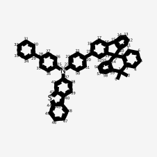 CC1(C)c2ccccc2C2(c3ccccc3-c3ccc(-c4ccc(N(c5ccc(-c6ccccc6)cc5)c5ccc6c(c5)sc5ccccc56)cc4)cc32)c2ccccc21